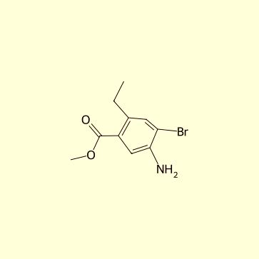 CCc1cc(Br)c(N)cc1C(=O)OC